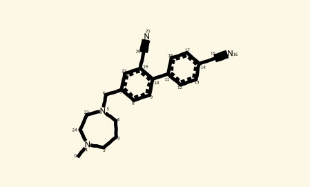 CN1CCCN(Cc2ccc(-c3ccc(C#N)cc3)c(C#N)c2)CC1